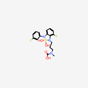 CN(CCCN1c2c(F)cccc2N(c2cccc(F)c2)S1(O)O)C(=O)O